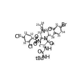 CC(C)(C)NC(=O)NC1CN(S(=O)(=O)c2ccc(Cl)cc2Cl)C2CN(C3CC3)C(=O)C(Cc3ccc(Br)cc3)N2C1=O